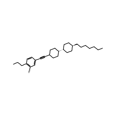 CCCCCCC[C@H]1CC[C@H](C2CCC(C#Cc3ccc(CCC)c(F)c3)CC2)CC1